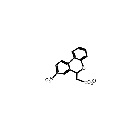 CCOC(=O)CC1Oc2ccccc2-c2ccc([N+](=O)[O-])cc21